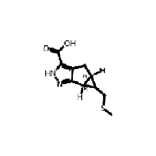 CSCC1[C@H]2Cc3c(n[nH]c3C(=O)O)[C@@H]12